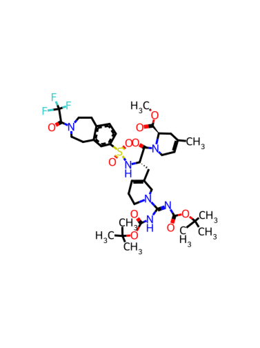 COC(=O)[C@H]1CC(C)=CCN1C(=O)[C@H](CC1=CCCN(C(=NC(=O)OC(C)(C)C)NC(=O)OC(C)(C)C)C1)NS(=O)(=O)c1ccc2c(c1)CCN(C(=O)C(F)(F)F)CC2